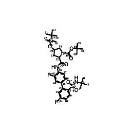 CC(C)(C)NS(=O)(=O)c1ccc(F)cc1-c1ccc(NC(=O)C2CC(O[Si](C)(C)C(C)(C)C)CN2C(=O)OC(C)(C)C)c(F)c1